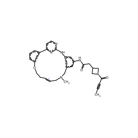 CC#CC(=O)N1CC(CC(=O)Nc2cc3cc(c2)Nc2nccc(n2)-c2cccc(c2)OCC/C=C/CN(C)C3)C1